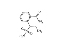 CCC(c1ccccc1C(N)=O)S(N)(=O)=O